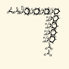 CCCC[N+]1(C)CCCCC1.CCCC[N+]1(C)CCCCC1.CCCC[N+]1(C)CCCCC1.CCCC[N+]1(C)CCCCC1.CCCC[N+]1(C)CCCCC1.CCCC[N+]1(C)CCCCC1.CCCC[N+]1(C)CCCCC1.CCCC[N+]1(C)CCCCC1.[O-]B([O-])F.[O-]B([O-])F.[O-]B([O-])F.[O-]B([O-])F